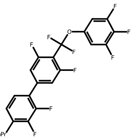 CCCc1ccc(-c2cc(F)c(C(F)(F)Oc3cc(F)c(F)c(F)c3)c(F)c2)c(F)c1F